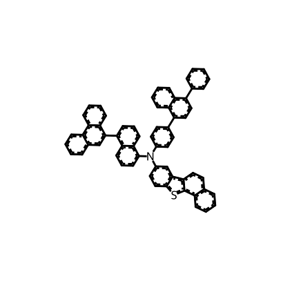 c1ccc(-c2ccc(-c3ccc(N(c4ccc5sc6c7ccccc7ccc6c5c4)c4cccc5c(-c6cc7ccccc7c7ccccc67)cccc45)cc3)c3ccccc23)cc1